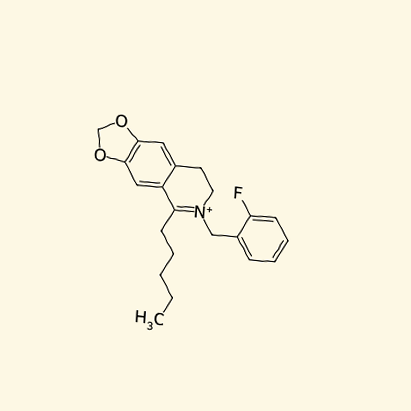 CCCCCC1=[N+](Cc2ccccc2F)CCc2cc3c(cc21)OCO3